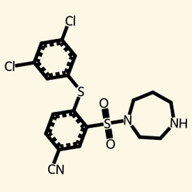 N#Cc1ccc(Sc2cc(Cl)cc(Cl)c2)c(S(=O)(=O)N2CCCNCC2)c1